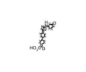 O=C(O)C(=O)N1CC=C(c2ccc(-c3cnc(Nc4cccc(Cl)c4)o3)cc2)CC1